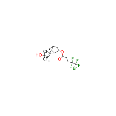 O=C(CCC(F)(F)C(F)(F)Br)OC1CC2CC(CC(O)(C(F)(F)F)C(F)(F)F)C1C2